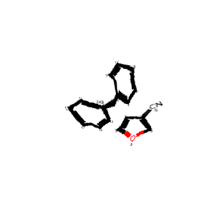 N#Cc1ccoc1.c1ccc(-c2ccccc2)cc1